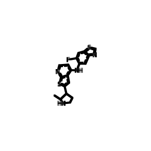 CC1NCCC1c1cc2c(Nc3cc4ncsc4cc3F)ccnc2s1